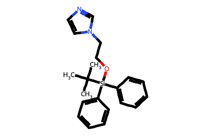 CC(C)(C)[Si](OCCn1ccnc1)(c1ccccc1)c1ccccc1